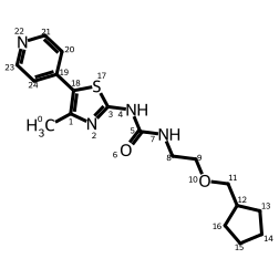 Cc1nc(NC(=O)NCCOCC2CCCC2)sc1-c1ccncc1